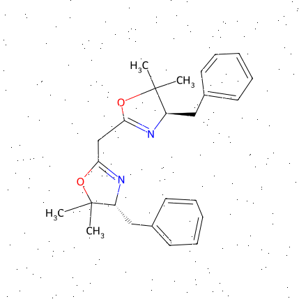 CC1(C)OC(CC2=N[C@H](Cc3ccccc3)C(C)(C)O2)=N[C@@H]1Cc1ccccc1